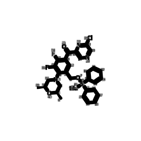 C[C@@H]1CN(c2c(CO[Si](c3ccccc3)(c3ccccc3)C(C)(C)C)cc(C(=O)c3cncc(Cl)n3)c(F)c2F)C[C@H](C)O1